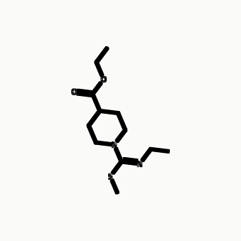 CC/N=C(/SC)N1CCC(C(=O)OCC)CC1